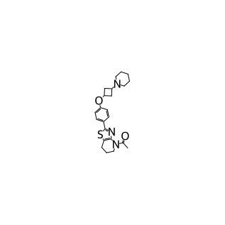 CC(=O)N1CCCc2sc(-c3ccc(OC4CC(N5CCCCC5)C4)cc3)nc21